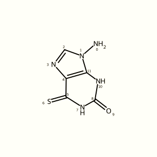 Nn1cnc2c(=S)[nH]c(=O)[nH]c21